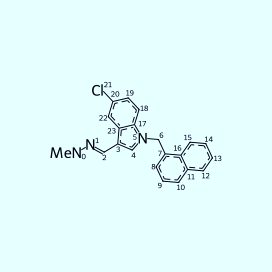 CN/N=C/c1cn(Cc2cccc3ccccc23)c2ccc(Cl)cc12